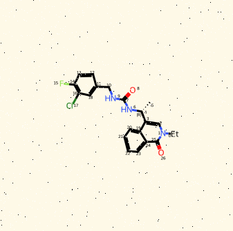 CCn1cc([C@@H](C)NC(=O)NCc2ccc(F)c(Cl)c2)c2ccccc2c1=O